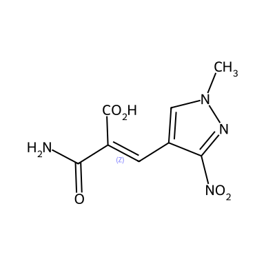 Cn1cc(/C=C(/C(N)=O)C(=O)O)c([N+](=O)[O-])n1